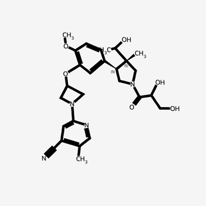 COc1ccc([C@@H]2CN(C(=O)C(O)CO)C[C@@]2(C)C(C)O)cc1OC1CN(c2cc(C#N)c(C)cn2)C1